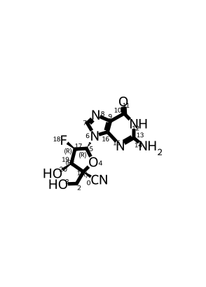 N#C[C@]1(CO)O[C@@H](n2cnc3c(=O)[nH]c(N)nc32)[C@H](F)[C@@H]1O